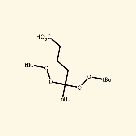 CCCCC(CCCC(=O)O)(OOC(C)(C)C)OOC(C)(C)C